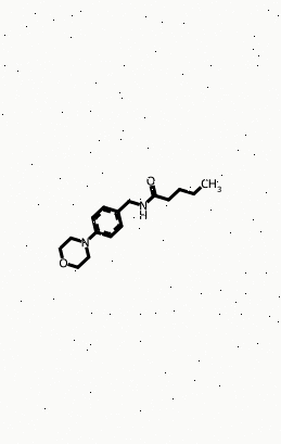 CCCCC(=O)NCc1ccc(N2CCOCC2)cc1